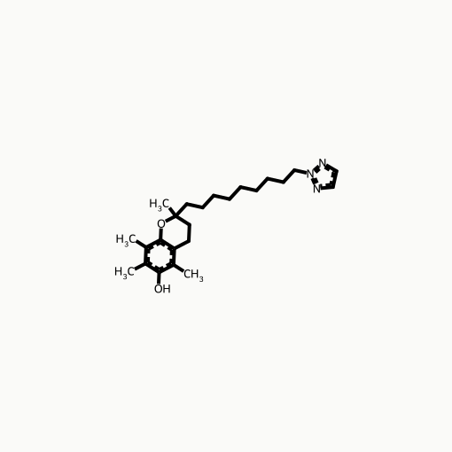 Cc1c(C)c2c(c(C)c1O)CCC(C)(CCCCCCCCCn1nccn1)O2